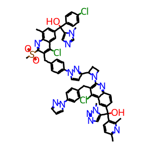 Cc1ccc(C(O)(c2ccc3nc(N4CCC4c4ccn(-c5ccc(Cc6c(S(C)(=O)=O)nc7c(C)cc(C(O)(c8ccc(Cl)cc8)c8cncn8C)cc7c6Cl)cc5)n4)c(Cc4ccc(-n5cccn5)cc4)c(Cl)c3c2)c2cnnn2C)c(C)n1